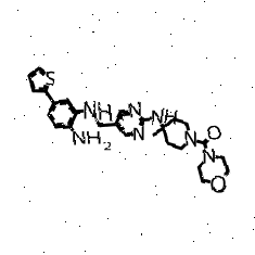 CC1(Nc2ncc(CNc3cc(-c4cccs4)ccc3N)cn2)CCN(C(=O)N2CCOCC2)CC1